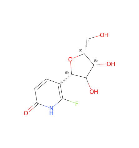 O=c1ccc([C@@H]2O[C@H](CO)[C@H](O)C2O)c(F)[nH]1